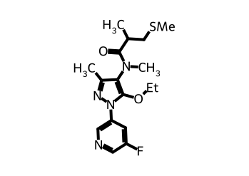 CCOc1c(N(C)C(=O)C(C)CSC)c(C)nn1-c1cncc(F)c1